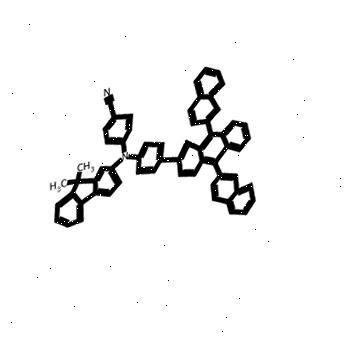 CC1(C)c2ccccc2-c2ccc(N(c3ccc(C#N)cc3)c3ccc(-c4ccc5c(-c6ccc7ccccc7c6)c6ccccc6c(-c6ccc7ccccc7c6)c5c4)cc3)cc21